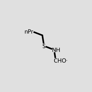 CCCCSN[C]=O